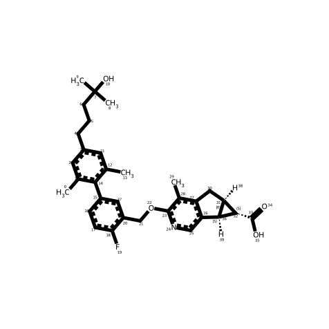 Cc1cc(CCCC(C)(C)O)cc(C)c1-c1ccc(F)c(COc2ncc3c(c2C)C[C@H]2[C@H](C(=O)O)[C@@H]32)c1